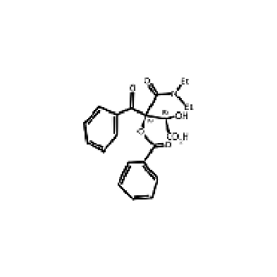 CCN(CC)C(=O)[C@@](OC(=O)c1ccccc1)(C(=O)c1ccccc1)[C@@H](O)C(=O)O